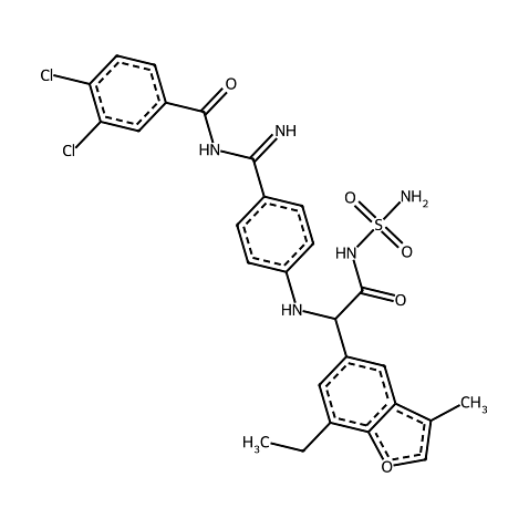 CCc1cc(C(Nc2ccc(C(=N)NC(=O)c3ccc(Cl)c(Cl)c3)cc2)C(=O)NS(N)(=O)=O)cc2c(C)coc12